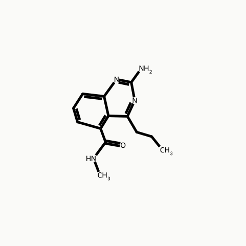 CCCc1nc(N)nc2cccc(C(=O)NC)c12